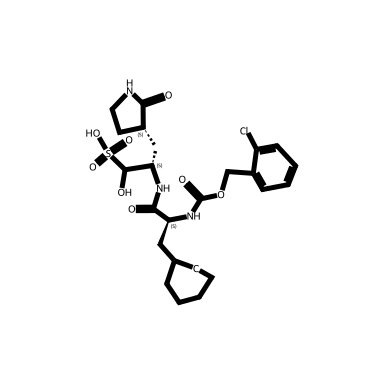 O=C(N[C@@H](CC1CCCCC1)C(=O)N[C@@H](C[C@@H]1CCNC1=O)C(O)S(=O)(=O)O)OCc1ccccc1Cl